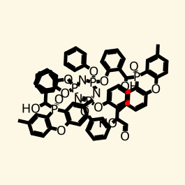 Cc1ccc2c(c1)P(=O)(C(O)c1ccccc1OP1(Oc3ccccc3)=NP(Oc3ccccc3)(Oc3ccccc3C(O)C=O)=NP(Oc3ccccc3)(Oc3ccccc3C(O)P3(=O)c4cc(C)ccc4Oc4ccc(C)cc43)=N1)c1cc(C)ccc1O2